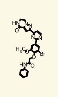 COc1cc(-c2nccc(-c3cc4n(n3)CCNC4=O)n2)cc(Br)c1OCC(=O)Nc1ccccc1